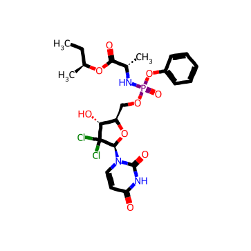 CC[C@H](C)OC(=O)[C@H](C)NP(=O)(OC[C@H]1O[C@@H](n2ccc(=O)[nH]c2=O)C(Cl)(Cl)[C@@H]1O)Oc1ccccc1